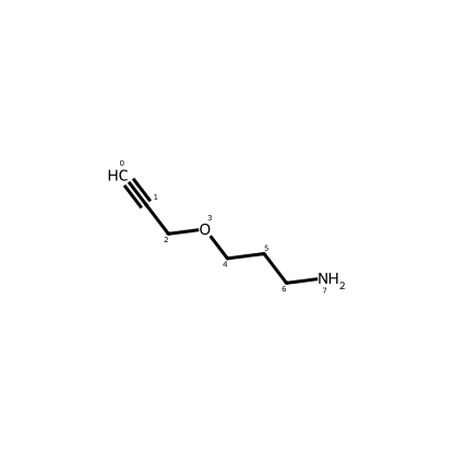 C#CCOCCCN